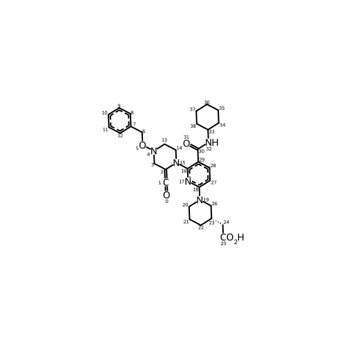 O=C=C1CN(OCc2ccccc2)CCN1c1nc(N2CCC[C@@H](CC(=O)O)C2)ccc1C(=O)NC1CCCCC1